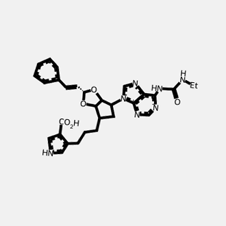 CCNC(=O)Nc1ncnc2c1ncn2C1CC(CCCc2c[nH]cc2C(=O)O)C2O[C@H](/C=C/c3ccccc3)OC21